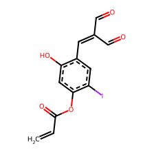 C=CC(=O)Oc1cc(O)c(C=C(C=O)C=O)cc1I